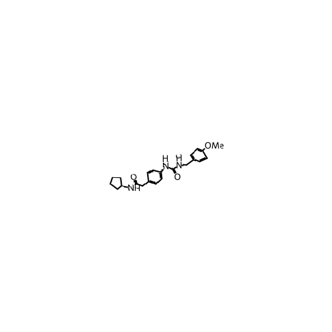 COc1ccc(CNC(=O)Nc2ccc(CC(=O)NC3CCCC3)cc2)cc1